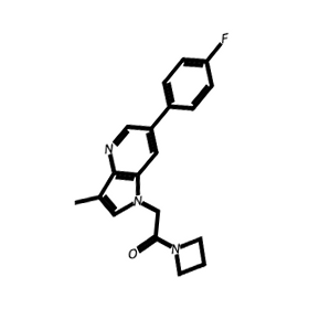 Cc1cn(CC(=O)N2CCC2)c2cc(-c3ccc(F)cc3)cnc12